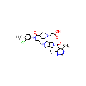 Cc1ccc(N(CCCN2CC3CN(C(=O)c4c(C)ncnc4C)CC3C2)C(=O)C2CCN(CCC(=O)O)CC2)cc1Cl